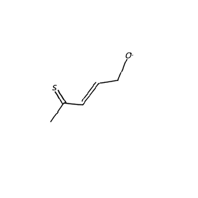 CC(=S)C=CC[O]